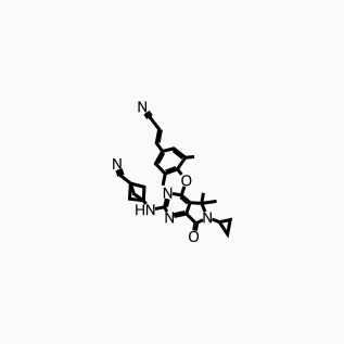 Cc1cc(/C=C/C#N)cc(C)c1Oc1nc(NC23CC(C#N)(C2)C3)nc2c1C(C)(C)N(C1CC1)C2=O